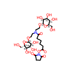 O=C(CCCCC(=O)N(CCO[C@H]1O[C@H](CO)[C@@H](O)[C@H](O)[C@@H]1O)CCO[C@@H]1O[C@@H](CO)[C@H](O)[C@@H](O)[C@H]1O)ON1C(=O)CCC1=O